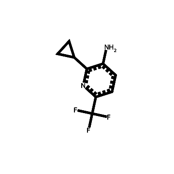 Nc1ccc(C(F)(F)F)nc1C1CC1